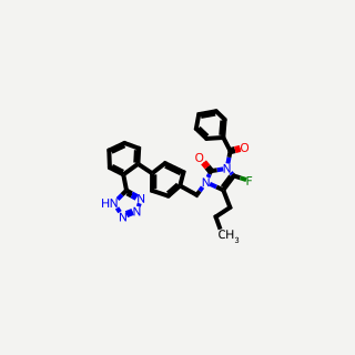 CCCc1c(F)n(C(=O)c2ccccc2)c(=O)n1Cc1ccc(-c2ccccc2-c2nnn[nH]2)cc1